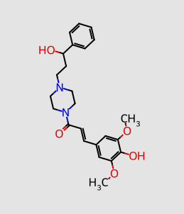 COc1cc(C=CC(=O)N2CCN(CCC(O)c3ccccc3)CC2)cc(OC)c1O